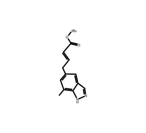 Cc1cc(C/C=C/C(=O)OC(C)(C)C)cc2cn[nH]c12